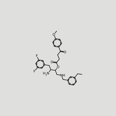 CCc1cccc(CNCC(OC(=O)CCC(=O)c2ccc(OC)cc2)C(N)Cc2cc(F)cc(F)c2)c1